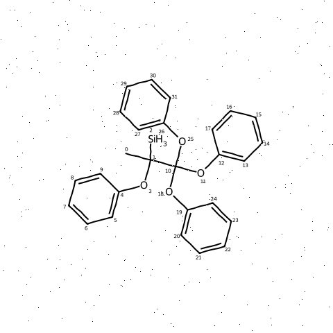 CC([SiH3])(Oc1ccccc1)C(Oc1ccccc1)(Oc1ccccc1)Oc1ccccc1